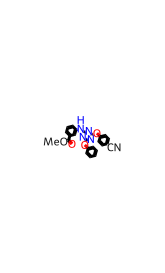 COC(=O)c1cccc(Nc2nc(Oc3ccccc3)nc(Oc3ccc(C#N)cc3)n2)c1